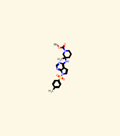 Cc1ccc(S(=O)(=O)n2ccc3c(NC4(C)CCCN(C(=O)OC(C)(C)C)C4)ncnc32)cc1